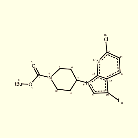 CC(C)(C)OC(=O)N1CCC(n2cc(I)c3ccc(Cl)nc32)CC1